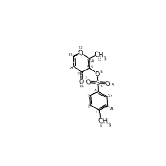 Cc1ccc(S(=O)(=O)Oc2c(C)occc2=O)cc1